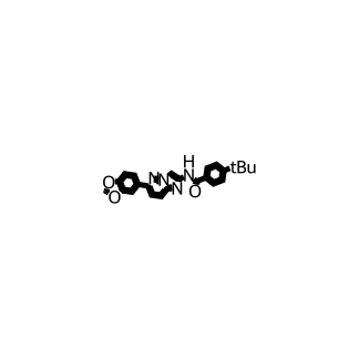 CC(C)(C)c1ccc(C(=O)Nc2cn3nc(-c4ccc5c(c4)OCO5)ccc3n2)cc1